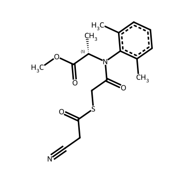 COC(=O)[C@H](C)N(C(=O)CSC(=O)CC#N)c1c(C)cccc1C